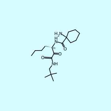 CCCC[C@H](NC(=O)C1(N)CCCCC1)C(=O)C(=O)NCC(C)(C)C